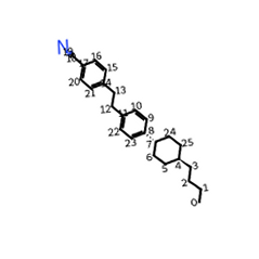 CCCC[C@H]1CC[C@H](c2ccc(CCc3ccc(C#N)cc3)cc2)CC1